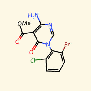 COC(=O)c1c(N)ncn(-c2c(Cl)cccc2Br)c1=O